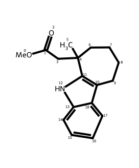 COC(=O)CC1(C)CCCCc2c1[nH]c1ccccc21